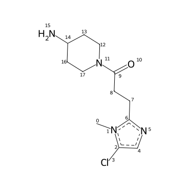 Cn1c(Cl)cnc1CCC(=O)N1CCC(N)CC1